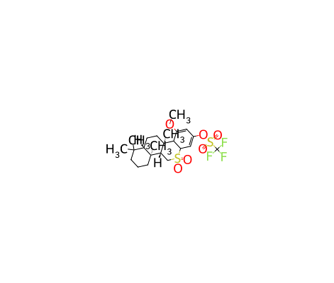 COC1=CC(OS(=O)(=O)C(F)(F)F)=CC2C1[C@]1(C)CC[C@H]3C(C)(C)CCC[C@]3(C)[C@H]1CS2(=O)=O